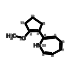 COC1=C(C2=CC=CC=CN2)CCC1